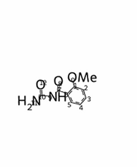 COc1ccccc1C(=O)NC(N)=O